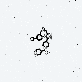 CN1Cc2cc(Cl)ccc2-n2c(nnc2C2CCN(C(=O)C3CCOCC3)CC2)C1